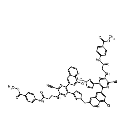 COC(=O)c1ccc(NC(=O)CCNc2nc(-c3ccn(Cc4cnc5c(Cl)cc(-c6nc(C#N)c(NCC(=O)Nc7ccc(C(=O)OC)cc7)nc6-c6ccn(C)n6)cc5c4)n3)c(-c3cc(Cl)c4ncccc4c3)nc2C#N)cc1